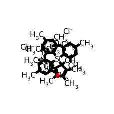 CC1=C(C)C(C)([Si](c2c(C)cc(C)cc2N(C)C)(c2c(C)cc(C)cc2N(C)C)c2c(C)cc(C)cc2N(C)C)[C]([Ti+3])=C1C.[Cl-].[Cl-].[Cl-]